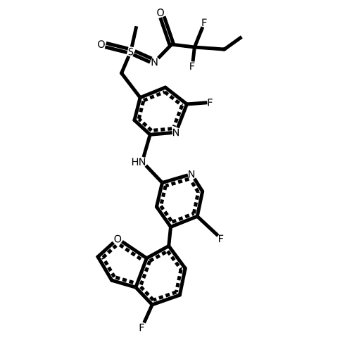 CCC(F)(F)C(=O)N=S(C)(=O)Cc1cc(F)nc(Nc2cc(-c3ccc(F)c4ccoc34)c(F)cn2)c1